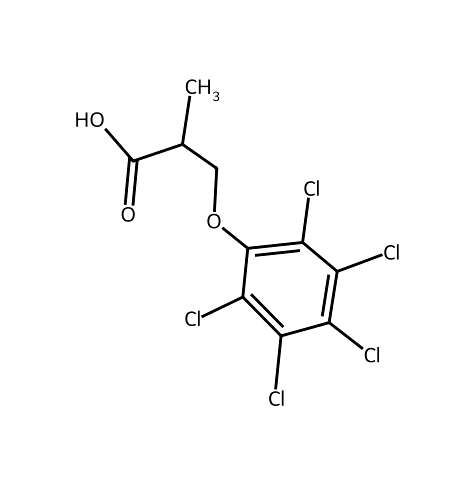 CC(COc1c(Cl)c(Cl)c(Cl)c(Cl)c1Cl)C(=O)O